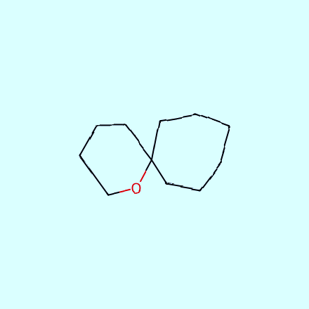 C1CCCC2(CC1)CCCCO2